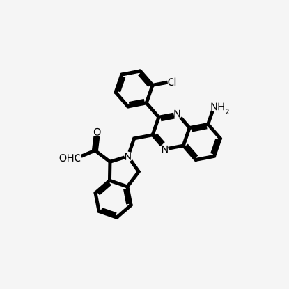 Nc1cccc2nc(CN3Cc4ccccc4C3C(=O)C=O)c(-c3ccccc3Cl)nc12